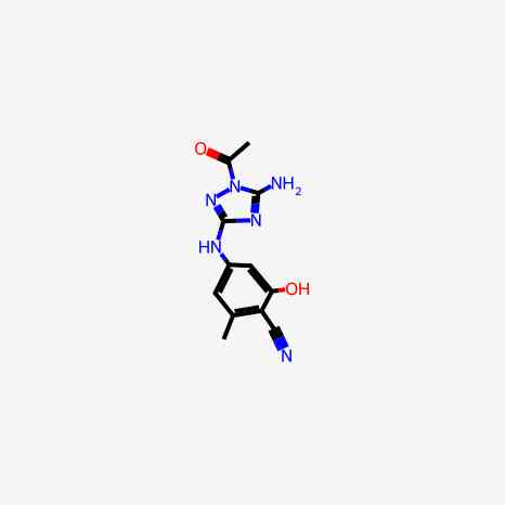 CC(=O)n1nc(Nc2cc(C)c(C#N)c(O)c2)nc1N